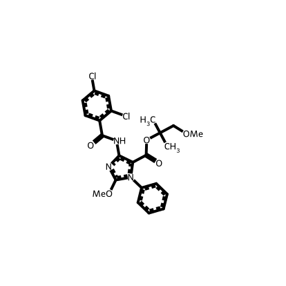 COCC(C)(C)OC(=O)c1c(NC(=O)c2ccc(Cl)cc2Cl)nc(OC)n1-c1ccccc1